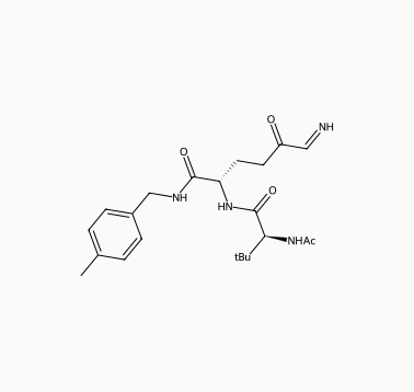 CC(=O)N[C@H](C(=O)N[C@@H](CCC(=O)C=N)C(=O)NCc1ccc(C)cc1)C(C)(C)C